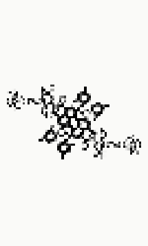 CO[Si](COCCOC(=O)C(CC(F)(F)F)N1C(=O)c2cc(Oc3ccc(C)cc3C)c3c4c(Oc5ccc(C)cc5C)cc5c6c(cc(Oc7ccc(C)cc7C)c(c7c(Oc8ccc(C)cc8C)cc(c2c37)C1=O)c64)C(=O)N(C(CC(F)(F)F)C(=O)OCCOC[Si](OC)(OC)OC)C5=O)(OC)OC